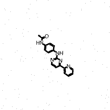 CC(=O)Nc1ccc(Nc2nccc(-c3ccccn3)n2)cc1